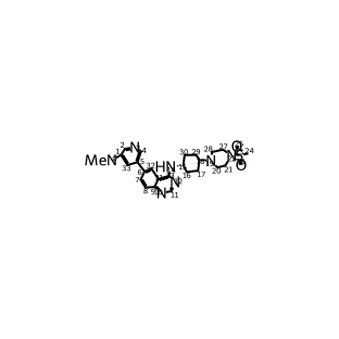 CNc1cncc(-c2ccc3ncnc(N[C@H]4CC[C@H](N5CCN(S(C)(=O)=O)CC5)CC4)c3c2)c1